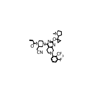 C=CC(=O)N1CCN(c2nc(OC3(C4CCCN4C)CC3)nc3c2CCN(c2cccc(F)c2C(F)(F)F)C3)CC1CC#N